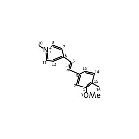 COc1cc(/C=C/c2cc[n+](C)cc2)ccc1C